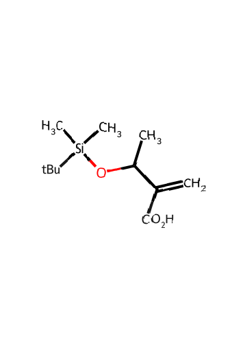 C=C(C(=O)O)C(C)O[Si](C)(C)C(C)(C)C